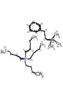 CCCC[N+](CCCC)(CCCC)CCCC.C[B-](C)(C)CCc1ccccc1